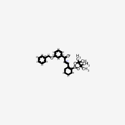 CC1(C)OB(C2=C(/C=C/C(=O)c3cccc(OCc4ccccc4)c3)CCCC2)OC1(C)C